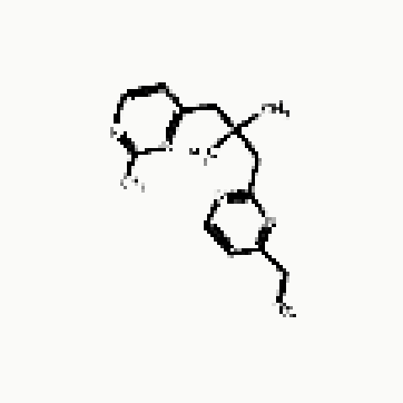 Cc1nccc(CC(C)(C)Cc2nccc(CC(C)(C)C)n2)n1